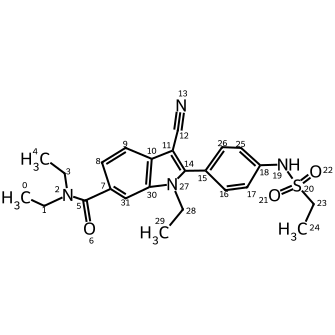 CCN(CC)C(=O)c1ccc2c(C#N)c(-c3ccc(NS(=O)(=O)CC)cc3)n(CC)c2c1